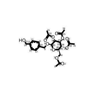 CC(=O)OC[C@H]1O[C@@H](OCc2ccc(CO)cc2)[C@H](OC(C)=O)[C@@H](OC(C)=O)[C@@H]1OC(C)=O